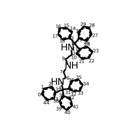 c1ccc(C(NCCNCCNC(c2ccccc2)(c2ccccc2)c2ccccc2)(c2ccccc2)c2ccccc2)cc1